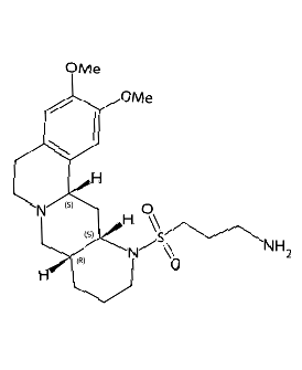 COc1cc2c(cc1OC)[C@@H]1C[C@H]3[C@H](CCCN3S(=O)(=O)CCCN)CN1CC2